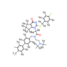 [2H]c1c([2H])c(C([2H])([2H])Sc2nc(=O)c3c(n2C([2H])([2H])C(=O)N(CCN(C([2H])([2H])C)C([2H])([2H])C)Cc2c([2H])c([2H])c(-c4c([2H])c([2H])c(C(F)(F)F)c(C)c4[2H])c([2H])c2[2H])C([2H])([2H])C([2H])([2H])C3([2H])[2H])c([2H])c([2H])c1F